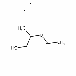 C[CH]OC(C)CO